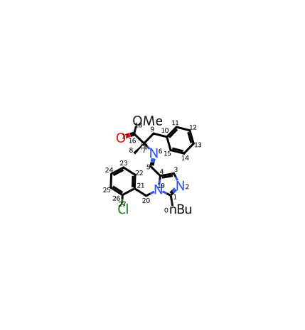 CCCCc1ncc(C=N[C@@](C)(Cc2ccccc2)C(=O)OC)n1Cc1ccccc1Cl